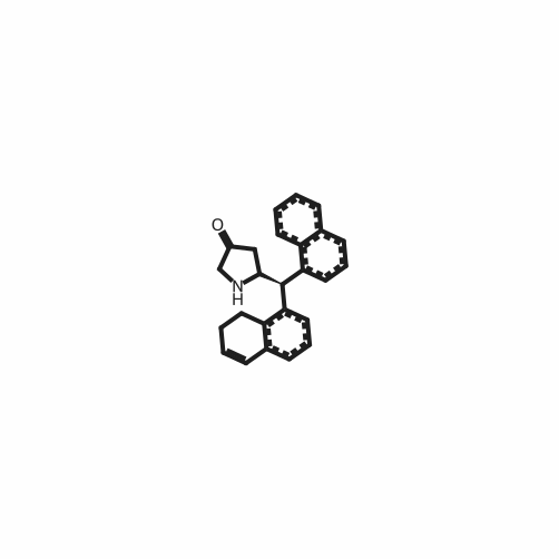 O=C1CNC([C@H](c2cccc3c2CCC=C3)c2cccc3ccccc23)C1